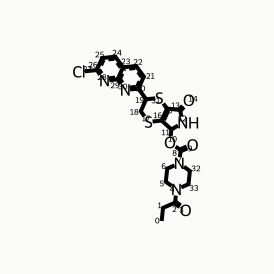 CCC(=O)N1CCN(C(=O)OC2NC(=O)C3=C2SCC(c2ccc4ccc(Cl)nc4n2)S3)CC1